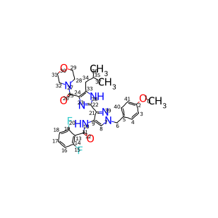 COc1ccc(Cn2cc(NC(=O)c3c(F)cccc3F)c(-c3nc(C(=O)N4CCOCC4)c(CC(C)C)[nH]3)n2)cc1